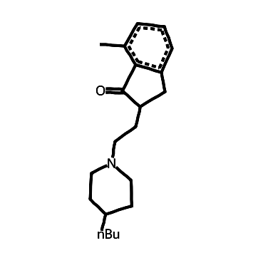 CCCCC1CCN(CCC2Cc3cccc(C)c3C2=O)CC1